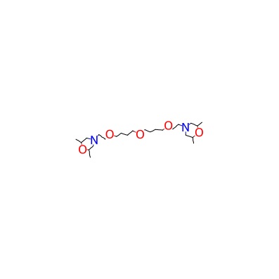 CC1CN(CCOCCCCOCCCCOCCN2CC(C)OC(C)C2)CC(C)O1